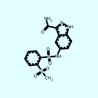 CS(=O)(=O)c1ccccc1S(=O)(=O)Nc1ccc2[nH]nc(C(N)=O)c2c1